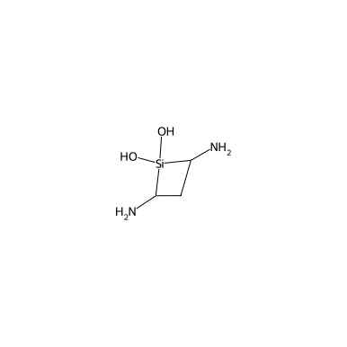 NC1CC(N)[Si]1(O)O